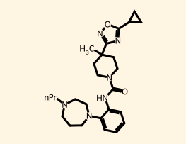 CCCN1CCCN(c2ccccc2NC(=O)N2CCC(C)(c3noc(C4CC4)n3)CC2)CC1